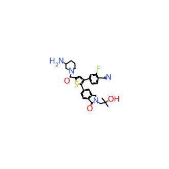 CC(C)(O)CN1Cc2cc(-c3sc(C(=O)N4CCCC(N)C4)cc3-c3ccc(C#N)c(F)c3)ccc2C1=O